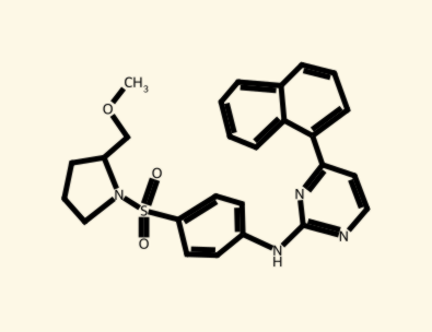 COCC1CCCN1S(=O)(=O)c1ccc(Nc2nccc(-c3cccc4ccccc34)n2)cc1